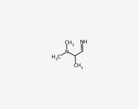 CC(C=N)N(C)C